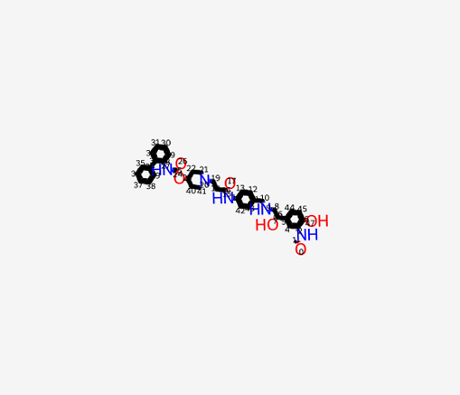 O=CNc1cc([C@H](O)CNCc2ccc(NC(=O)CCN3CCC(OC(=O)Nc4ccccc4-c4ccccc4)CC3)cc2)ccc1O